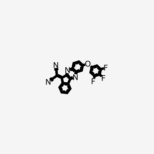 N#CC(C#N)=C1c2ccccc2-c2nc3cc(Oc4cc(F)c(F)c(F)c4)ccc3nc21